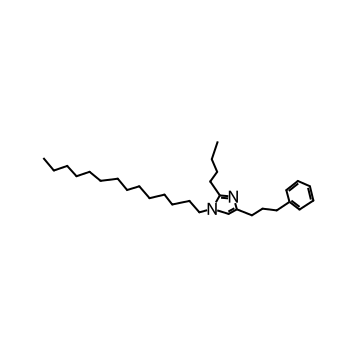 CCCCCCCCCCCCCCn1cc(CCCc2ccccc2)nc1CCCC